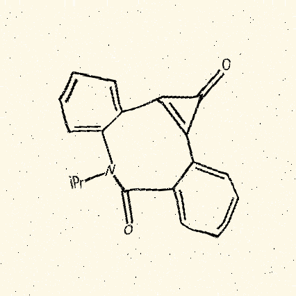 CC(C)N1C(=O)c2ccccc2-c2c(c2=O)-c2ccccc21